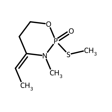 C/C=C1/CCOP(=O)(SC)N1C